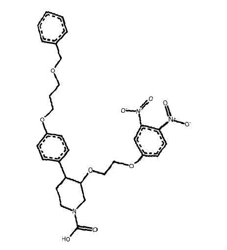 O=C(O)N1CCC(c2ccc(OCCCOCc3ccccc3)cc2)C(OCCOc2ccc([N+](=O)[O-])c([N+](=O)[O-])c2)C1